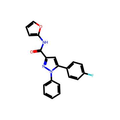 O=C(Nc1ccco1)c1cc(-c2ccc(F)cc2)n(-c2ccccc2)n1